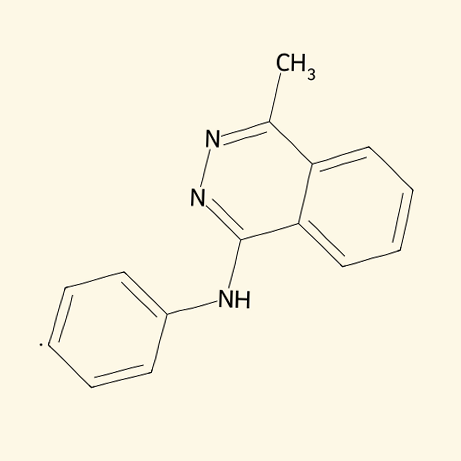 Cc1nnc(Nc2cc[c]cc2)c2ccccc12